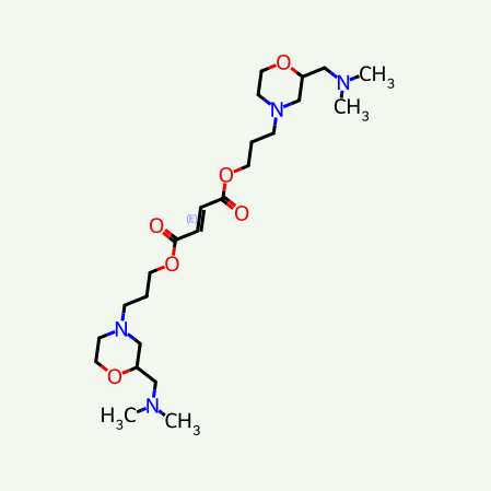 CN(C)CC1CN(CCCOC(=O)/C=C/C(=O)OCCCN2CCOC(CN(C)C)C2)CCO1